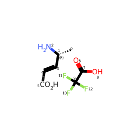 C[C@@H](N)C=CC(=O)O.O=C(O)C(F)(F)F